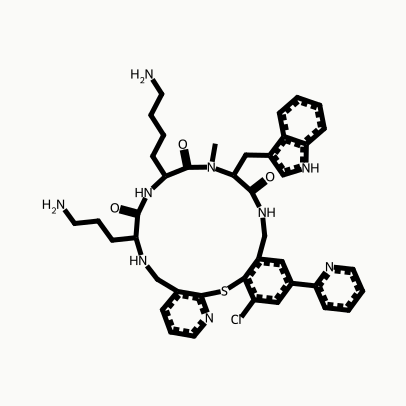 CN1C(=O)C(CCCCN)NC(=O)C(CCCN)NCc2cccnc2Sc2c(Cl)cc(-c3ccccn3)cc2CNC(=O)C1Cc1c[nH]c2ccccc12